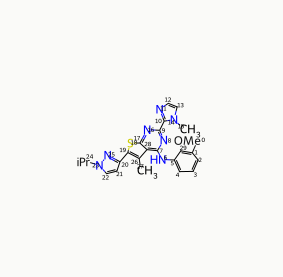 COc1cccc(Nc2nc(-c3nccn3C)nc3sc(-c4ccn(C(C)C)n4)c(C)c23)c1